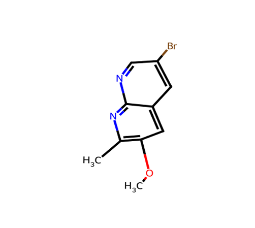 COc1cc2cc(Br)cnc2nc1C